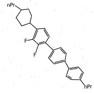 CCCc1ccc(-c2ccc(-c3ccc(C4CCC(CCC)CC4)c(F)c3F)cc2)cc1